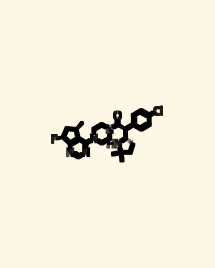 C[C@@H]1C[C@H](F)c2ncnc(N3CCN(C(=O)[C@@H](c4ccc(Cl)cc4)[C@@H]4CCC(C)(C)N4)CC3)c21